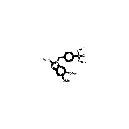 CCOP(=O)(OCC)c1ccc(Cn2c(NC)nc3cc(OC)c(OC)cc32)cc1